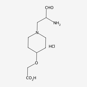 Cl.NC(C=O)CN1CCC(OCC(=O)O)CC1